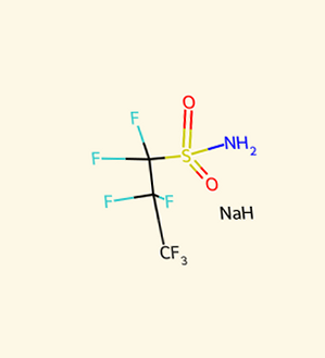 NS(=O)(=O)C(F)(F)C(F)(F)C(F)(F)F.[NaH]